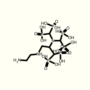 NCCNCC(C(P(=O)(O)O)P(=O)(O)O)N(C(P(=O)(O)O)P(=O)(O)O)C(P(=O)(O)O)P(=O)(O)O